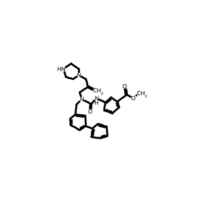 C=C(CN1CCNCC1)CN(Cc1cccc(-c2ccccc2)c1)C(=O)Nc1cccc(C(=O)OC)c1